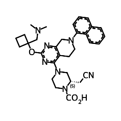 CN(C)CC1(Oc2nc3c(c(N4CCN(C(=O)O)[C@@H](CC#N)C4)n2)CCN(c2cccc4ccccc24)C3)CCC1